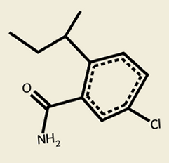 CCC(C)c1ccc(Cl)cc1C(N)=O